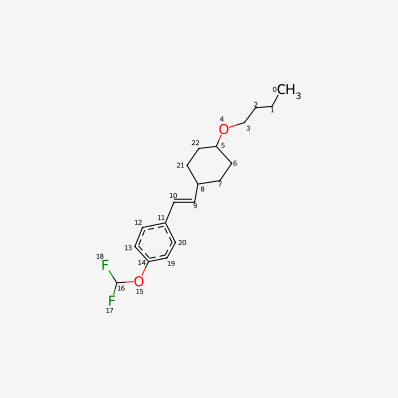 CCCCOC1CCC(C=Cc2ccc(OC(F)F)cc2)CC1